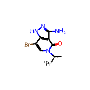 CC(C)[C@H](C)n1cc(Br)c2[nH]nc(N)c2c1=O